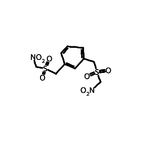 O=[N+]([O-])CS(=O)(=O)Cc1cccc(CS(=O)(=O)C[N+](=O)[O-])c1